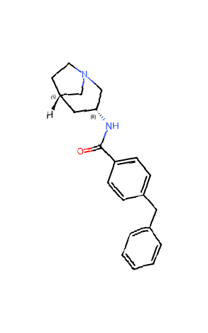 O=C(N[C@@H]1C[C@@H]2CCN(C2)C1)c1ccc(Cc2ccccc2)cc1